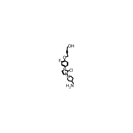 NCC1CCN(N2C=CN(c3ccc(OCC#CCO)c(F)c3)C2Cl)CC1